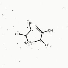 CC(C)C(=O)O.CC(O)CO